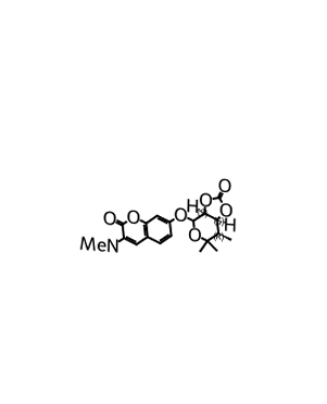 CNc1cc2ccc(OC3OC(C)(C)[C@H](C)[C@@H]4OC(=O)O[C@H]34)cc2oc1=O